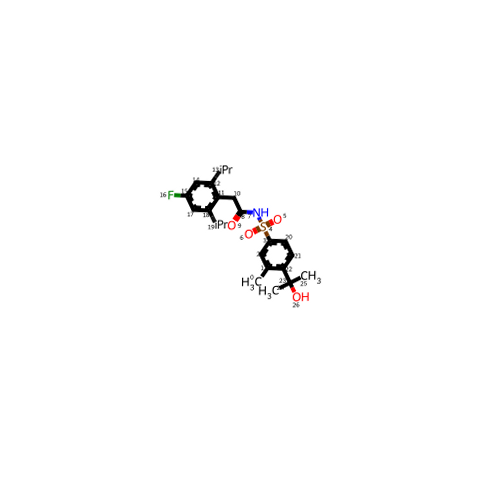 Cc1cc(S(=O)(=O)NC(=O)Cc2c(C(C)C)cc(F)cc2C(C)C)ccc1C(C)(C)O